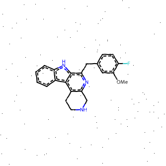 COc1cc(Cc2nc3c(c4c2[nH]c2ccccc24)CCNC3)ccc1F